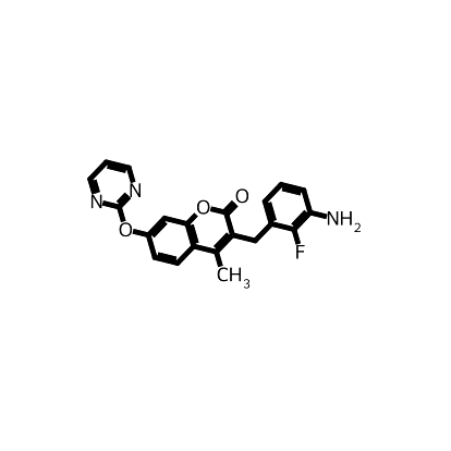 Cc1c(Cc2cccc(N)c2F)c(=O)oc2cc(Oc3ncccn3)ccc12